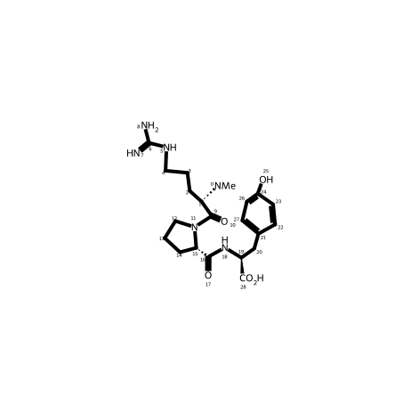 CN[C@@H](CCCNC(=N)N)C(=O)N1CCC[C@H]1C(=O)N[C@@H](Cc1ccc(O)cc1)C(=O)O